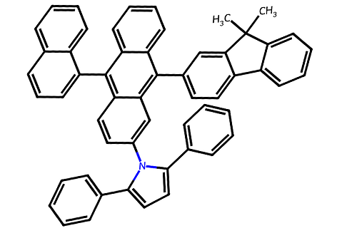 CC1(C)c2ccccc2-c2ccc(-c3c4ccccc4c(-c4cccc5ccccc45)c4ccc(-n5c(-c6ccccc6)ccc5-c5ccccc5)cc34)cc21